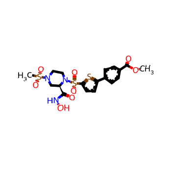 COC(=O)c1ccc(-c2ccc(S(=O)(=O)N3CCN(S(C)(=O)=O)C[C@@H]3C(=O)NO)s2)cc1